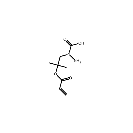 C=CC(=O)OC(C)(C)CN(N)C(=O)O